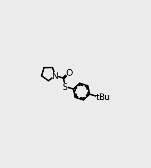 CC(C)(C)c1ccc(SC(=O)N2CCCC2)cc1